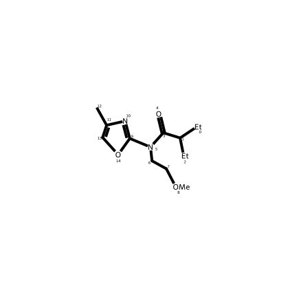 CCC(CC)C(=O)N(CCOC)c1nc(C)co1